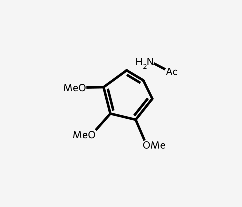 CC(N)=O.COc1cccc(OC)c1OC